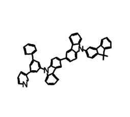 CC1(C)c2ccccc2-c2cc(-n3c4ccccc4c4cc(-c5ccc6c(c5)c5ccccc5n6-c5cc(-c6ccccc6)cc(-c6cccnc6)c5)ccc43)ccc21